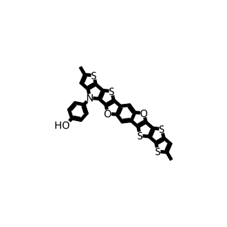 Cc1cc2sc3c4oc5cc6c(cc5c4sc3c2s1)oc1c6sc2c3sc(C)cc3n(-c3ccc(O)cc3)c12